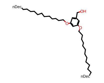 CCCCCCCCCCCCCCCCCCCCCCOc1cc(CO)cc(OCCCCCCCCCCCCCCCCCCCCCC)c1